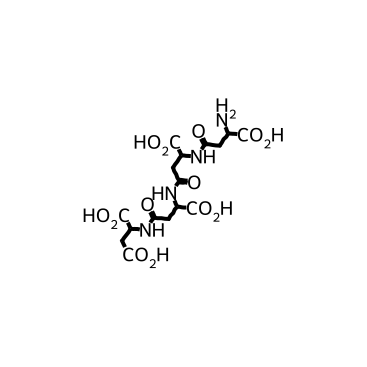 NC(CC(=O)NC(CC(=O)NC(CC(=O)NC(CC(=O)O)C(=O)O)C(=O)O)C(=O)O)C(=O)O